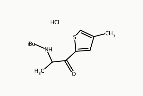 CCC(C)NC(C)C(=O)c1cc(C)cs1.Cl